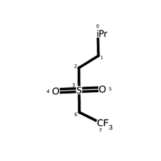 CC(C)CCS(=O)(=O)CC(F)(F)F